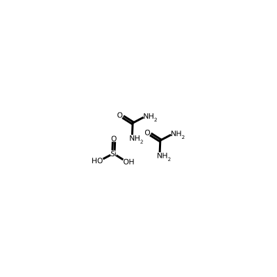 NC(N)=O.NC(N)=O.O=[Si](O)O